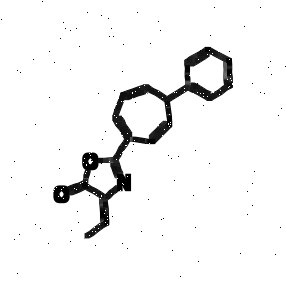 C/C=C1/N=C(C2=CC=CC(c3ccccc3)C=C2)OC1=O